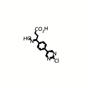 O=C(O)CCC(=NO)c1ccc(-c2cnc(Cl)nc2)cc1